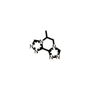 CC1Cn2cnnc2-c2nncn21